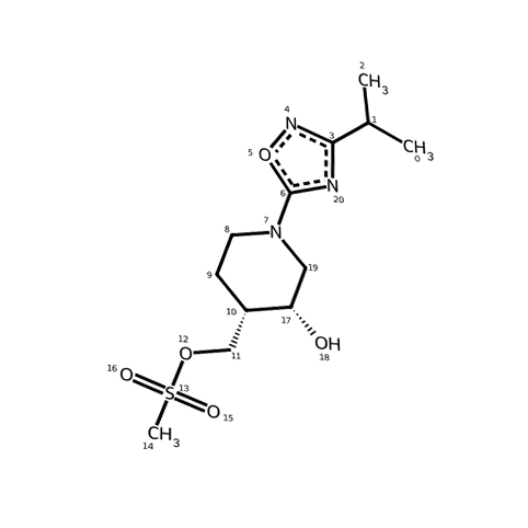 CC(C)c1noc(N2CC[C@@H](COS(C)(=O)=O)[C@@H](O)C2)n1